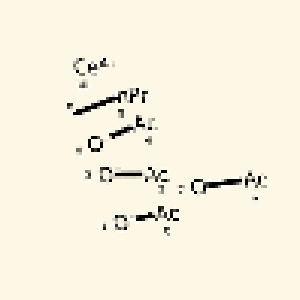 CC(=O)[O-].CC(=O)[O-].CC(=O)[O-].CC(=O)[O-].CCCC.[Ce+4]